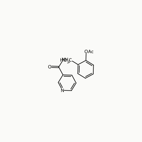 CC(=O)Oc1ccccc1C(=O)O.NC(=O)c1cccnc1